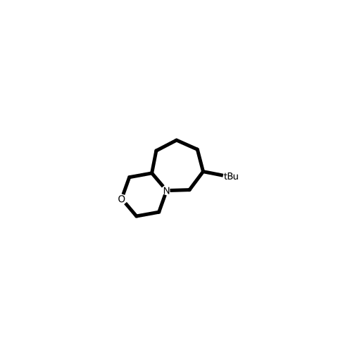 CC(C)(C)C1CCCC2COCCN2C1